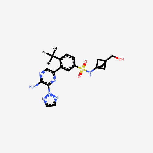 [2H]C([2H])([2H])c1ccc(S(=O)(=O)NC23CC(CO)(C2)C3)cc1-c1cnc(N)c(-n2nccn2)n1